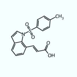 Cc1ccc(S(=O)(=O)n2ccc3cccc(C=CC(=O)O)c32)cc1